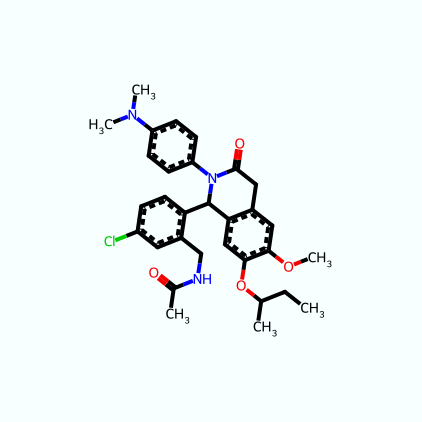 CCC(C)Oc1cc2c(cc1OC)CC(=O)N(c1ccc(N(C)C)cc1)C2c1ccc(Cl)cc1CNC(C)=O